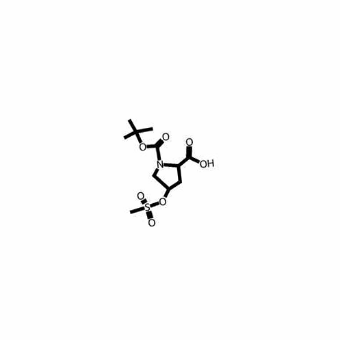 CC(C)(C)OC(=O)N1CC(OS(C)(=O)=O)CC1C(=O)O